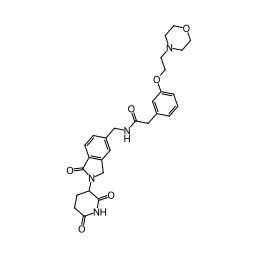 O=C(Cc1cccc(OCCN2CCOCC2)c1)NCc1ccc2c(c1)CN(C1CCC(=O)NC1=O)C2=O